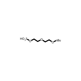 CCCCOCCOCCOS(=O)(=O)O